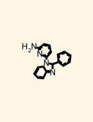 Nc1cccc(N2C3C=CC=CC3=NC2c2ccccc2)n1